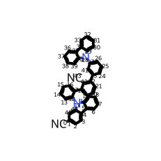 N#Cc1ccc2c3ccccc3n(-c3ccccc3-c3cccc(-c4cccc(-n5c6ccccc6c6ccccc65)c4)c3C#N)c2c1